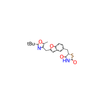 Cc1oc(C(C)(C)C)nc1Cc1cc2cc(CC3SC(=O)NC3=O)ccc2o1